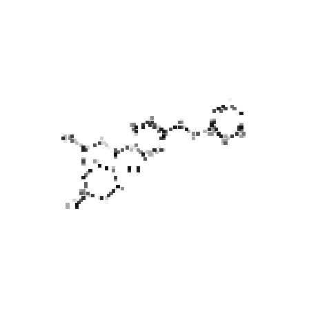 CN(C)CC(c1ccc(OCc2ccccc2)cc1)C1(O)CCC(O)CC1